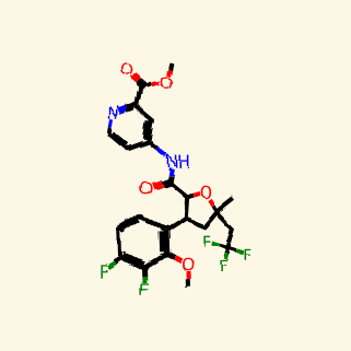 COC(=O)c1cc(NC(=O)C2OC(C)(CC(F)(F)F)CC2c2ccc(F)c(F)c2OC)ccn1